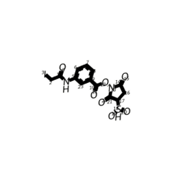 O=C(CI)Nc1cccc(C(=O)ON2C(=O)CC([SH](=O)=O)C2=O)c1